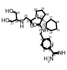 N=C(N)c1ccc(CNC(=O)[C@]2(C3CCCCC3)CCCN2C(=O)CNC(CO)CO)cn1